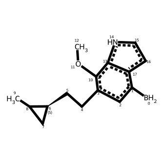 Bc1cc(CC[C@H]2CC2C)c(OC)c2[nH]ccc12